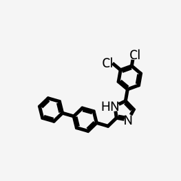 Clc1ccc(-c2cnc(Cc3ccc(-c4ccccc4)cc3)[nH]2)cc1Cl